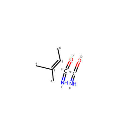 CC=C(C)C.N=C=O.N=C=O